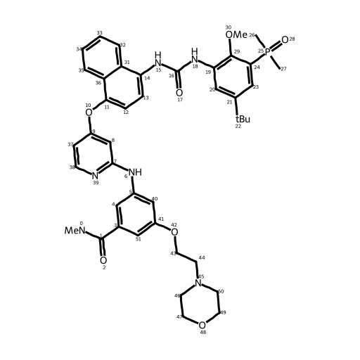 CNC(=O)c1cc(Nc2cc(Oc3ccc(NC(=O)Nc4cc(C(C)(C)C)cc(P(C)(C)=O)c4OC)c4ccccc34)ccn2)cc(OCCN2CCOCC2)c1